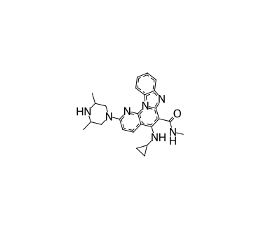 CNC(=O)c1c(NC2CC2)c2ccc(N3CC(C)NC(C)C3)nc2n2c1nc1ccccc12